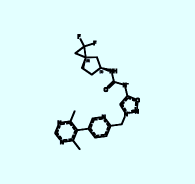 Cc1ncnc(C)c1-c1ccc(C[n+]2cc([N-]C(=O)N[C@H]3CC[C@@]4(C3)CC4(F)F)on2)nc1